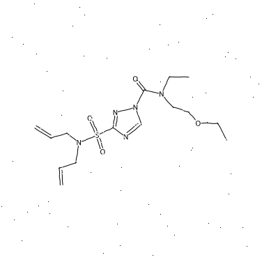 C=CCN(CC=C)S(=O)(=O)c1ncn(C(=O)N(CC)CCOCC)n1